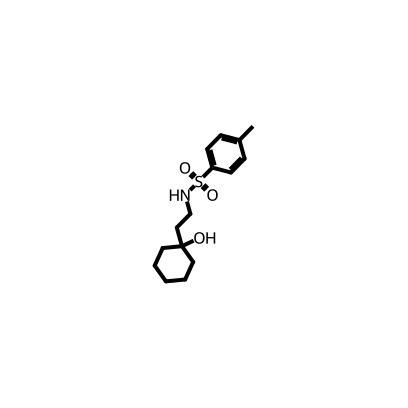 Cc1ccc(S(=O)(=O)NCCC2(O)CCCCC2)cc1